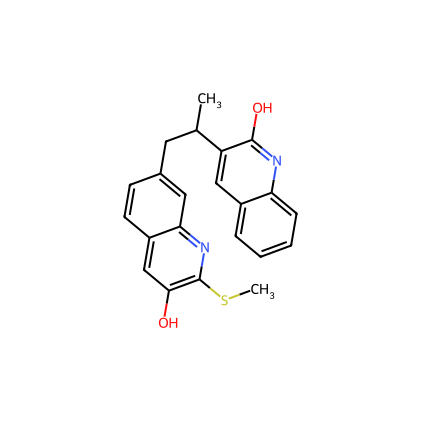 CSc1nc2cc(CC(C)c3cc4ccccc4nc3O)ccc2cc1O